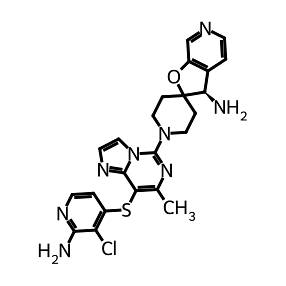 Cc1nc(N2CCC3(CC2)Oc2cnccc2[C@H]3N)n2ccnc2c1Sc1ccnc(N)c1Cl